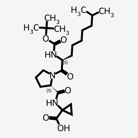 CC(C)CCCCC[C@H](NC(=O)OC(C)(C)C)C(=O)N1CCC[C@H]1C(=O)NC1(C(=O)O)CC1